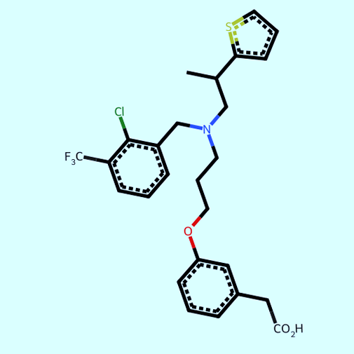 CC(CN(CCCOc1cccc(CC(=O)O)c1)Cc1cccc(C(F)(F)F)c1Cl)c1cccs1